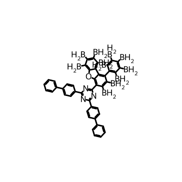 Bc1c(B)c(B)c(-c2c(B)c(B)c(-c3nc(-c4ccc(-c5ccccc5)cc4)nc(-c4ccc(-c5ccccc5)cc4)n3)c3oc4c(B)c(B)c(B)c(B)c4c23)c(B)c1B